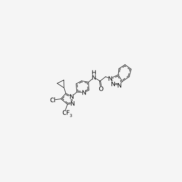 O=C(Cn1nnc2ccccc21)Nc1ccc(-n2nc(C(F)(F)F)c(Cl)c2C2CC2)nc1